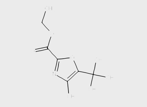 CCOC(=O)c1nc(C)c(C(C)(C)C)o1